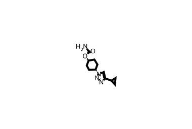 NC(=O)O[C@H]1CC[C@H](n2cc(C3CC3)nn2)CC1